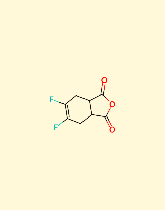 O=C1OC(=O)C2CC(F)=C(F)CC12